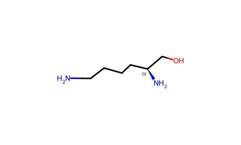 NCCCC[C@H](N)CO